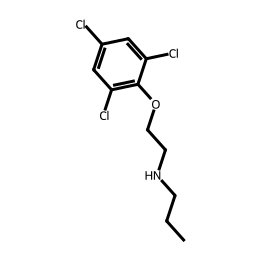 CCCNCCOc1c(Cl)cc(Cl)cc1Cl